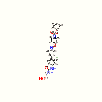 O=C(NCCO)Nc1ccc(C2CCC(=NOC3CCN(C(=O)Oc4ccccc4)CC3)CC2)c(F)c1